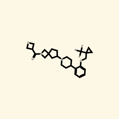 O=C(C1COC1)N1CC2(CCC(N3CCC(c4ccccc4OCC4(C(F)(F)F)CC4)CC3)C2)C1